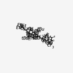 C=C(OS(=O)(=O)C(F)(F)F)[C@H](C)C[C@H]1CC[C@@H]2O[C@@H](CCC(O)/C=C/[C@H](O[Si](C)(C)C(C)(C)C)[C@@H]3C[C@H]4OC[C@H](CCO[Si](CC)(CC)CC)C[C@@H]4[C@H](O[Si](C)(C)C(C)(C)C)[C@@H]3O[Si](C)(C)C(C)(C)C)C[C@]2(CI)O1